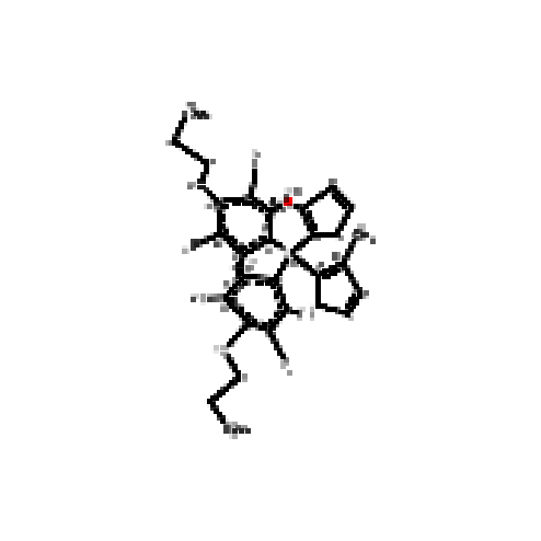 CCCCCCCCCCCCOc1c(F)c(F)[c]([Ti]([C]2=C(C)C=CC2)([C]2=C(C)C=CC2)[c]2c(F)c(F)c(OCCCCCCCCCCCC)c(F)c2F)c(F)c1F